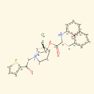 O=C(C[N+]12CCC(CC1)[C@@H](OC(=O)[C@@H](Cc1ccccc1)Nc1ccccc1)C2)c1cccs1.[Cl-]